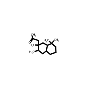 CC(=O)CC1(C)CC2C(CCCC2(C)C)CC1C